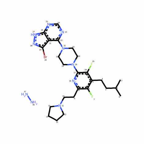 CC(C)CCc1c(F)c(CCN2CCCC2)nc(N2CCN(c3ncnc4[nH]nc(Br)c34)CC2)c1F.NN